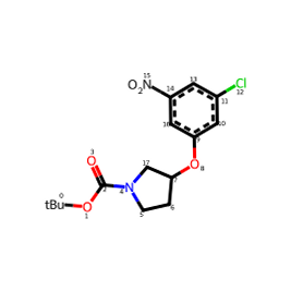 CC(C)(C)OC(=O)N1CCC(Oc2cc(Cl)cc([N+](=O)[O-])c2)C1